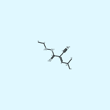 CCOOC(=O)C(C#N)=CC(C)C